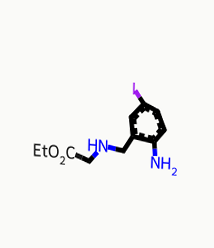 CCOC(=O)CNCc1cc(I)ccc1N